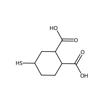 O=C(O)C1CCC(S)CC1C(=O)O